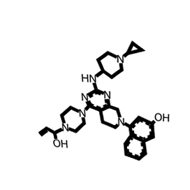 C=CC(O)N1CCN(c2nc(NC3CCN(C4CC4)CC3)nc3c2CCN(c2cc(O)cc4ccccc24)C3)CC1